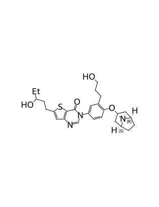 CCC(O)CCc1cc2ncn(-c3ccc(OC4C[C@H]5CC[C@@H](C4)N5C)c(CCCO)c3)c(=O)c2s1